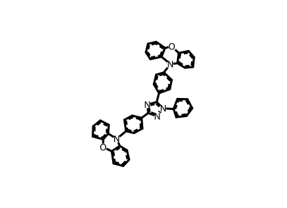 c1ccc(-n2nc(-c3ccc(N4c5ccccc5Oc5ccccc54)cc3)nc2-c2ccc(N3c4ccccc4Oc4ccccc43)cc2)cc1